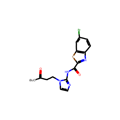 CC(C)COC(=O)CCn1ccnc1NC(=O)c1nc2ccc(Br)cc2s1